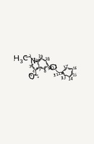 CCn1cc(C=O)c2cc(OCc3ccccc3)ccc21